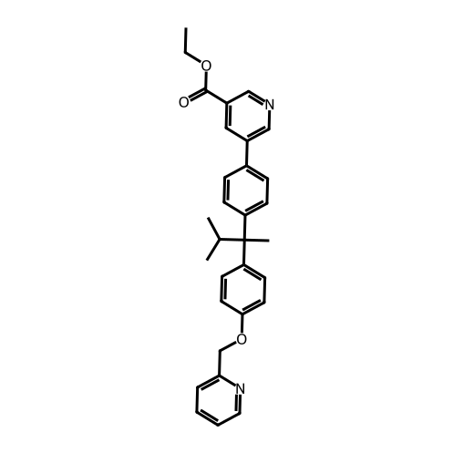 CCOC(=O)c1cncc(-c2ccc(C(C)(c3ccc(OCc4ccccn4)cc3)C(C)C)cc2)c1